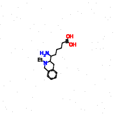 CCN1Cc2ccccc2CC1C(N)CCCCB(O)O